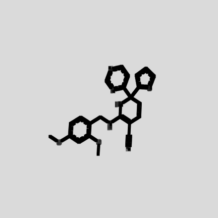 COc1ccc(CNC2=C(C#N)C=CC(c3ccncn3)(c3ccco3)N2)c(OC)c1